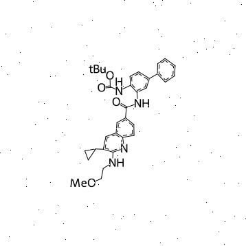 COCCNc1nc2ccc(C(=O)Nc3cc(-c4ccccc4)ccc3NC(=O)OC(C)(C)C)cc2cc1C1CC1